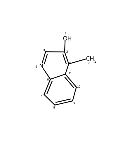 Cc1c(O)cnc2ccccc12